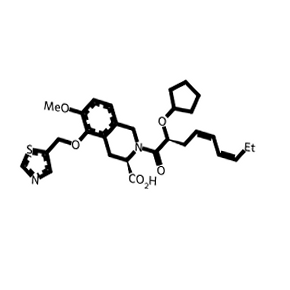 CC/C=C\C=C/C[C@H](OC1CCCC1)C(=O)N1Cc2ccc(OC)c(OCc3cncs3)c2C[C@@H]1C(=O)O